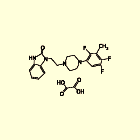 Cc1c(F)c(F)cc(N2CCN(CCn3c(=O)[nH]c4ccccc43)CC2)c1F.O=C(O)C(=O)O